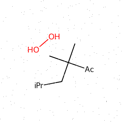 CC(=O)C(C)(C)CC(C)C.OO